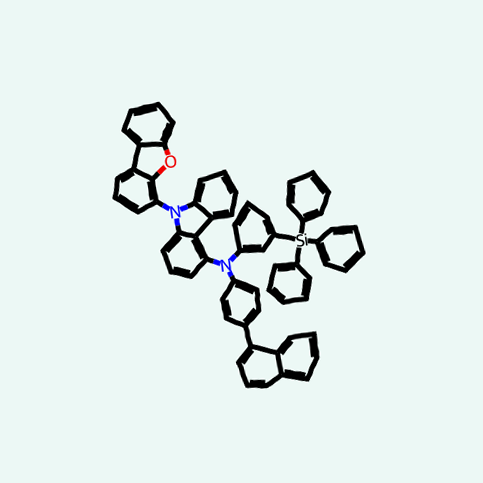 c1ccc([Si](c2ccccc2)(c2ccccc2)c2cccc(N(c3ccc(-c4cccc5ccccc45)cc3)c3cccc4c3c3ccccc3n4-c3cccc4c3oc3ccccc34)c2)cc1